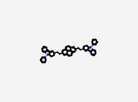 c1ccc(-n2c3ccccc3c3cc(CCc4cc5ccc6cc(CCc7ccc8c(c7)c7ccccc7n8-c7ccccc7)cc7ccc(c4)c5c67)ccc32)cc1